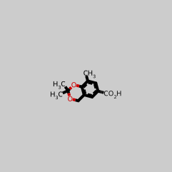 Cc1cc(C(=O)O)cc2c1OC(C)(C)OC2